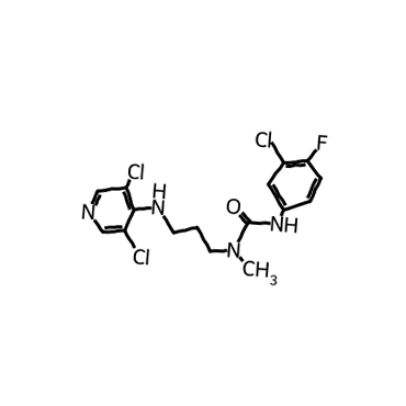 CN(CCCNc1c(Cl)cncc1Cl)C(=O)Nc1ccc(F)c(Cl)c1